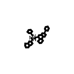 c1ccc(-c2ccc3c(c2)cc(-c2nc(-c4ccccc4)nc(-c4ccc5ccccc5c4)n2)c2ccccc23)cc1